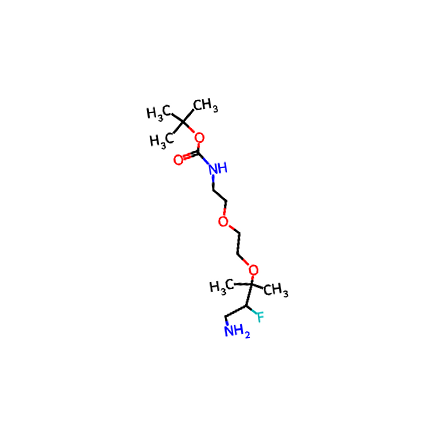 CC(C)(C)OC(=O)NCCOCCOC(C)(C)C(F)CN